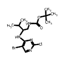 CC(C)C(CNC(=O)OC(C)(C)C)Nc1nc(Cl)ncc1Br